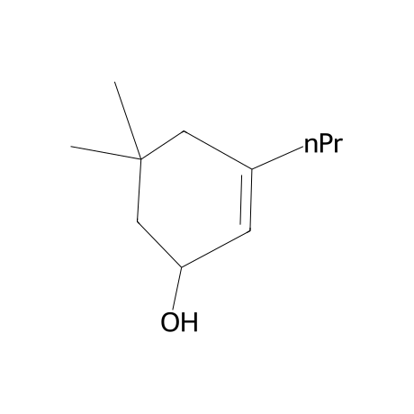 CCCC1=CC(O)CC(C)(C)C1